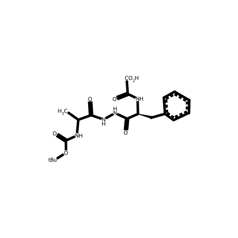 CC(NC(=O)OC(C)(C)C)C(=O)NNC(=O)[C@H](Cc1ccccc1)NC(=O)C(=O)O